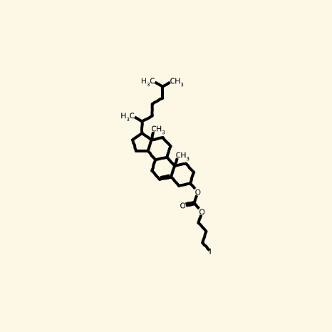 CC(C)CCCC(C)C1CCC2C3CC=C4CC(OC(=O)OCCCI)CCC4(C)C3CCC12C